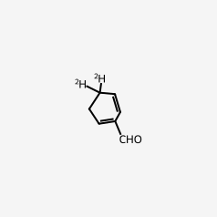 [2H]C1([2H])C=CC(C=O)=CC1